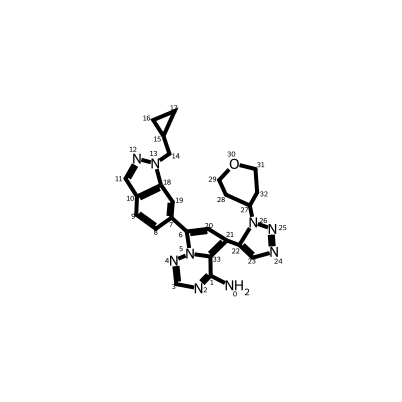 Nc1ncnn2c(-c3ccc4cnn(CC5CC5)c4c3)cc(-c3cnnn3C3CCOCC3)c12